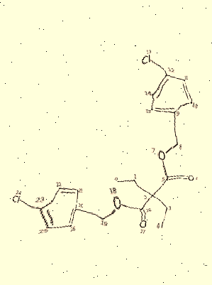 CCC(CC)(C(=O)OCc1ccc(Cl)cc1)C(=O)OCc1ccc(Cl)cc1